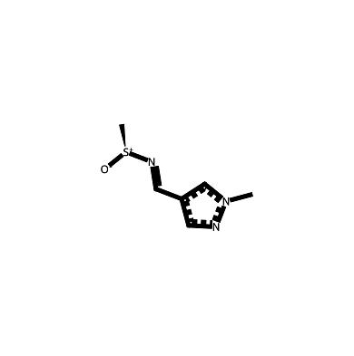 Cn1cc(/C=N/[S@+](C)[O-])cn1